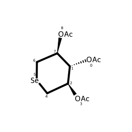 CC(=O)O[C@@H]1[C@@H](OC(C)=O)C[Se]C[C@H]1OC(C)=O